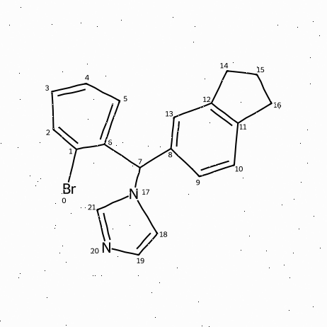 Brc1ccccc1C(c1ccc2c(c1)CCC2)n1ccnc1